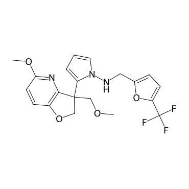 COCC1(c2cccn2NCc2ccc(C(F)(F)F)o2)COc2ccc(OC)nc21